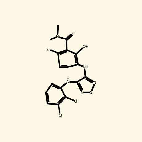 CN(C)C(=O)c1c(Br)ccc(Nc2nsnc2Nc2cccc(Cl)c2Cl)c1O